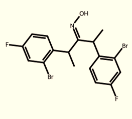 CC(C(=NO)C(C)c1ccc(F)cc1Br)c1ccc(F)cc1Br